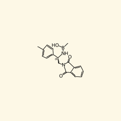 CB(O)N[C@@H](CN1C(=O)c2ccccc2C1=O)c1ccc(C)cc1